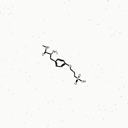 CNC(=O)[C@@H](N)Cc1ccc(OCCCS(=O)(=O)O)cc1